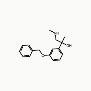 CNCC(C)(O)c1cccc(OCc2ccccc2)c1